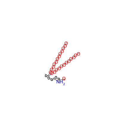 COCCOCCOCCOCCOCCOCCOCCOCCOCCOCCOCCOCCCC1(CCCOCCOCCOCCOCCOCCOCCOCCOCCOCCOCCOCCOC)c2cc(C)ccc2-c2ccc(-c3cccc(C(C)(CCCCN)c4cccc(-c5ccc(CCCC(C)=O)cc5)c4)c3)cc21